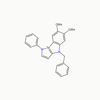 COc1cc2c(cc1OC)[Te]1=C(C=CN1c1ccccc1)N2Cc1ccccc1